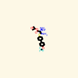 NN/C(C(=O)OC1COC1)=C(\N)Sc1ccc(-c2ccc(OC(F)(F)F)cc2)cc1